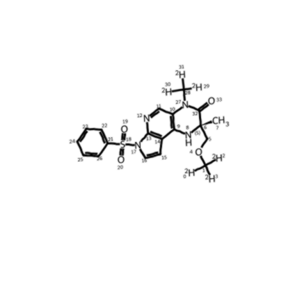 [2H]C([2H])([2H])OC[C@]1(C)Nc2c(cnc3c2ccn3S(=O)(=O)c2ccccc2)N(C([2H])([2H])[2H])C1=O